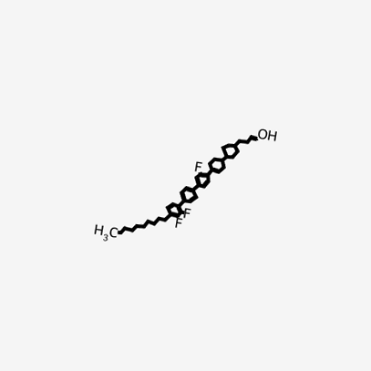 CCCCCCCCCCc1ccc(-c2ccc(-c3ccc(C4=CCC(C5CCC(CC/C=C/O)CC5)CC4)c(F)c3)cc2)c(F)c1F